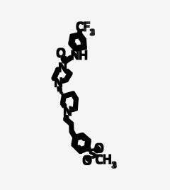 CS(=O)(=O)c1ccc(CCCN2CCC[C@@H](CN3CCN(C(=O)Nc4ccc(C(F)(F)F)cc4)CC3)C2)cc1